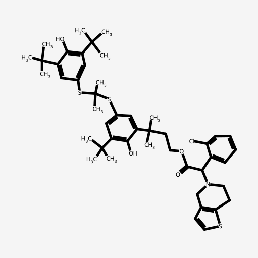 CC(C)(Sc1cc(C(C)(C)C)c(O)c(C(C)(C)C)c1)Sc1cc(C(C)(C)C)c(O)c(C(C)(C)CCOC(=O)C(c2ccccc2Cl)N2CCc3sccc3C2)c1